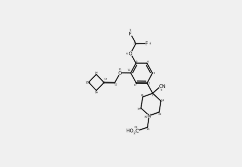 N#CC1(c2ccc(OC(F)F)c(OCC3CCC3)c2)CCN(CC(=O)O)CC1